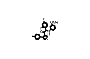 COc1cccc(NC(C(=O)c2cscc2-c2ccc(C)cc2)c2ccc(F)cc2F)c1